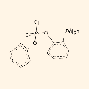 CCCCCCCCCc1ccccc1OP(=O)(Cl)Oc1ccccc1